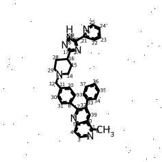 Cc1nccc2nc(-c3ccc(CN4CCC(c5n[nH]c(-c6ccccn6)n5)CC4)cc3)c(-c3ccccc3)cc12